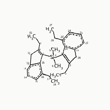 CCC1=C([Si](C)(C)C2=C(CC)[CH]c3cccc(CC)c32)c2c(cccc2CC)[CH]1